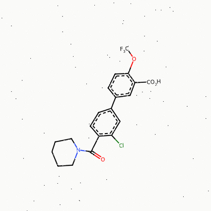 O=C(O)c1cc(-c2ccc(C(=O)N3CCCCC3)c(Cl)c2)ccc1OC(F)(F)F